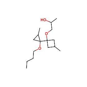 CCCCOC1(C2(OCC(C)O)CC(C)C2)CC1C